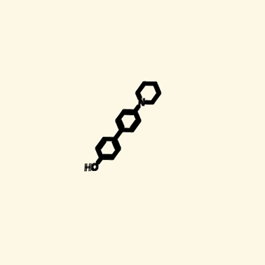 Oc1ccc(-c2ccc(N3CCCCC3)cc2)cc1